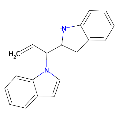 C=CC(C1Cc2ccccc2[N]1)n1ccc2ccccc21